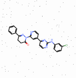 O=C1CCC(c2ccccc2)=NN1c1cc(-c2ccnc(Nc3cccc(Cl)c3)n2)ccn1